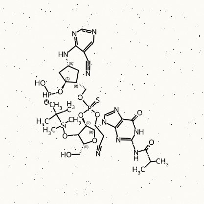 CC(C)C(=O)Nc1nc2c(ncn2[C@@H]2O[C@H](CO)C(O[Si](C)(C)C(C)(C)C)[C@H]2OP(=S)(OCCC#N)OC[C@H]2C[C@@H](Nc3ncncc3C#N)C[C@@H]2O[PH](=O)O)c(=O)[nH]1